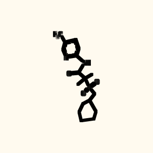 CC(C)(C(=O)Nc1ccc(C(F)(F)F)cn1)S(=O)(=O)CC1CCCCC1